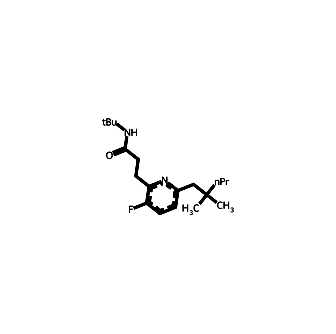 CCCC(C)(C)Cc1ccc(F)c(CCC(=O)NC(C)(C)C)n1